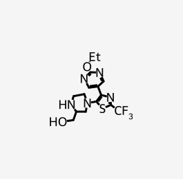 CCOc1ncc(-c2nc(C(F)(F)F)sc2N2CCNC(CO)C2)cn1